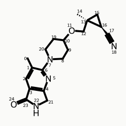 Cc1cc2c(nc1N1CCC(OC[C@@]3(C)C[C@H]3C#N)CC1)CNC2=O